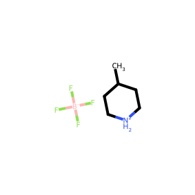 CC1CC[NH2+]CC1.F[B-](F)(F)F